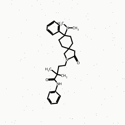 CN(C)C1(c2ccccc2)CCC2(CC1)CC(=O)N(CCC(C)(C)C(=O)Nc1ccccc1)C2